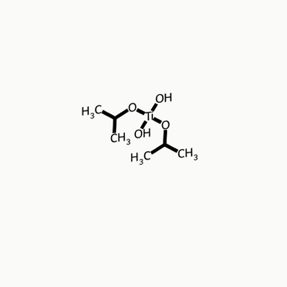 CC(C)[O][Ti]([OH])([OH])[O]C(C)C